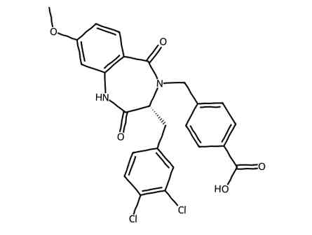 COc1ccc2c(c1)NC(=O)[C@@H](Cc1ccc(Cl)c(Cl)c1)N(Cc1ccc(C(=O)O)cc1)C2=O